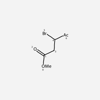 COC(=O)CC(Br)C(C)=O